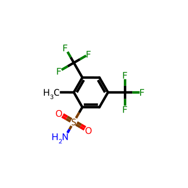 Cc1c(C(F)(F)F)cc(C(F)(F)F)cc1S(N)(=O)=O